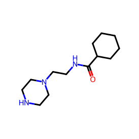 O=C(NCCN1CCNCC1)C1CCCCC1